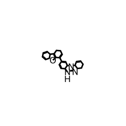 C1=CC2OC3=C(CCC=C3C3=CC4C(C=C3)NC3=NC5CCC=CC5N34)C2C=C1